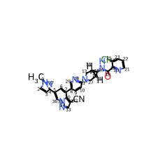 Cn1ccc(-c2cc(-c3ccc(N4C[C@@H]5C(NC(=O)c6ncccc6Cl)[C@@H]5C4)nc3)c3c(C#N)cnn3c2)n1